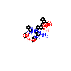 CCOCc1nc2c(N)nc3ccccc3c2n1CC(C)(C)O.CCOCc1nc2c(N)nc3ccccc3c2n1CC(C)(C)O.O=C(O)c1cc2ccccc2c(Cc2c(O)c(C(=O)O)cc3ccccc23)c1O